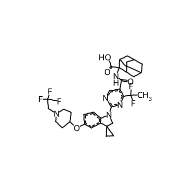 CC(F)(F)c1nc(N2CC3(CC3)c3cc(OC4CCN(CC(F)(F)F)CC4)ccc32)ncc1C(=O)NC1(C(=O)O)C2CC3CC(C2)CC1C3